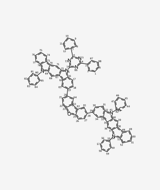 c1ccc(-c2nc(-c3ccccc3)nc(-n3c4ccc(-c5ccc6oc7ccc(-c8ccc9c(c8)c8cc%10c(cc8n9-c8ccccc8)c8ccccc8n%10-c8ccccc8)cc7c6c5)cc4c4cc5c(cc43)c3ccccc3n5-c3ccccc3)n2)cc1